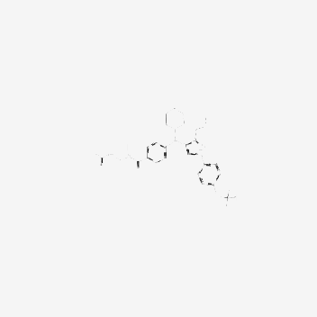 COCc1nn(-c2ccc(OC(F)(F)F)cc2)cc1C(c1ccc(C(=O)NCCC(=O)O)cc1)C1CCCCC1